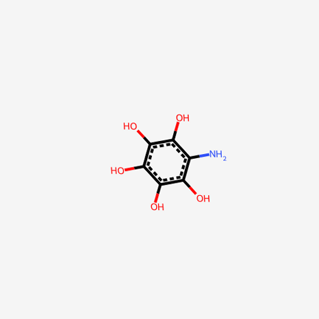 Nc1c(O)c(O)c(O)c(O)c1O